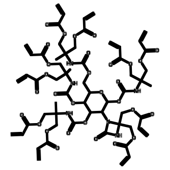 C=CC(=O)OCC(C)(COC(=O)C=C)NC(=O)OCC1OC(OC(=O)NC(C)(COC(=O)C=C)COC(=O)C=C)C(N2C(=O)NC2(COC(=O)C=C)COC(=O)C=C)C(OC(=O)NC(C)(COC(=O)C=C)COC(=O)C=C)C1OC(=O)NC(C)(COC(=O)C=C)COC(=O)C=C